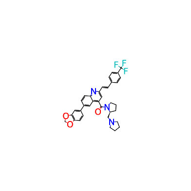 O=C(c1cc(/C=C/c2ccc(C(F)(F)F)cc2)nc2ccc(-c3ccc4c(c3)OCO4)cc12)N1CCC[C@H]1CN1CCCC1